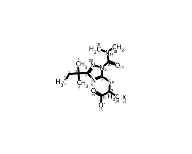 CCC(C)(C)c1nc(SC(C)C(=O)[O-])n(C(=O)N(C)C)n1.[K+]